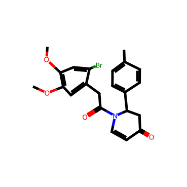 COc1cc(Br)c(CC(=O)N2C=CC(=O)CC2c2ccc(C)cc2)cc1OC